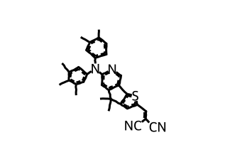 Cc1ccc(N(c2cc(C)c(C)c(C)c2)c2cc3c(cn2)-c2sc(C=C(C#N)C#N)cc2C3(C)C)cc1C